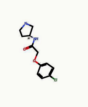 O=C(COc1ccc(Cl)cc1)N[C@@H]1CC[N]C1